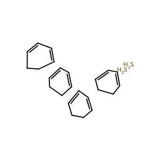 C1=CCCC=C1.C1=CCCC=C1.C1=CCCC=C1.C1=CCCC=C1.S.S